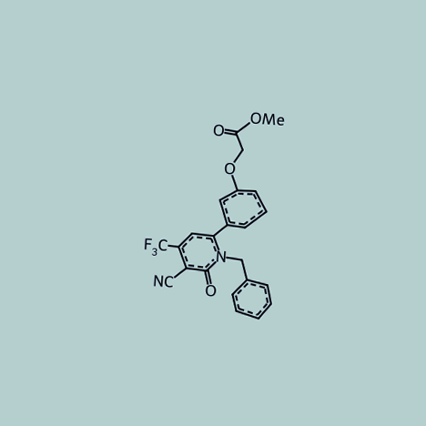 COC(=O)COc1cccc(-c2cc(C(F)(F)F)c(C#N)c(=O)n2Cc2ccccc2)c1